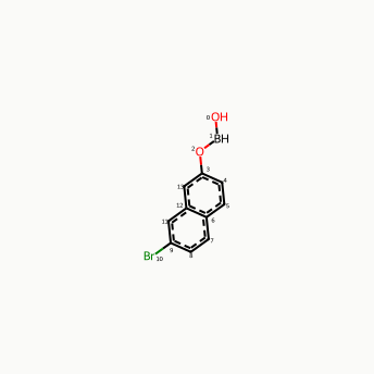 OBOc1ccc2ccc(Br)cc2c1